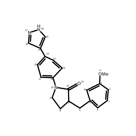 COc1cccc(CC2CCN(c3ccc(-c4cn[nH]c4)cc3)C2=O)c1